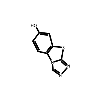 Oc1ccc2c(c1)sc1nncn12